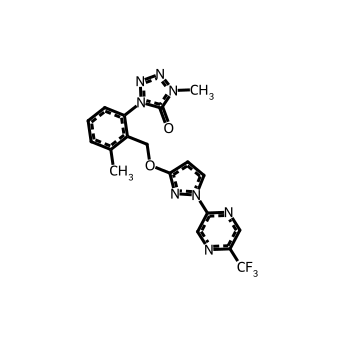 Cc1cccc(-n2nnn(C)c2=O)c1COc1ccn(-c2cnc(C(F)(F)F)cn2)n1